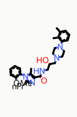 CCCc1nc(C(=O)NCC(O)CN2CCN(c3cccc(C)c3C)CC2)c(C)n1-c1ccccc1OC